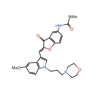 CNC(=O)Nc1ccc2c(c1)C(=O)/C(=C/c1cn(CCCN3CCOCC3)c3ccc(OC)cc13)O2